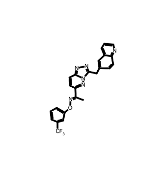 C/C(=N\Oc1cccc(C(F)(F)F)c1)c1ccc2nnc(Cc3ccc4ncccc4c3)n2n1